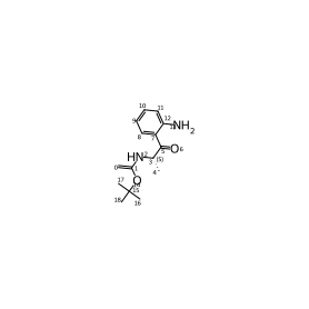 C=C(N[C@@H](C)C(=O)c1ccccc1N)OC(C)(C)C